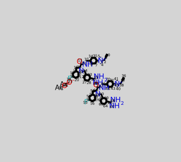 C#CC[N+](C)(C)c1ccc(CNC(=O)c2cc3cc(F)ccc3n2Cc2cccc(C(=N)N)c2)cc1.C#CC[N+](C)(C)c1ccc(CNC(=O)c2cc3cc(F)ccc3n2Cc2cccc(C(=N)N)c2)cc1.CC(=O)[O-].CC(=O)[O-]